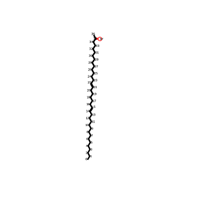 CCCCCCCCCCCCCC/C=C/CCCCC/C=C/CCCCCCCCCCCCC(C)=O